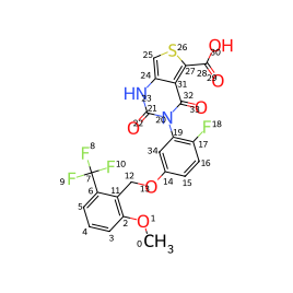 COc1cccc(C(F)(F)F)c1COc1ccc(F)c(-n2c(=O)[nH]c3csc(C(=O)O)c3c2=O)c1